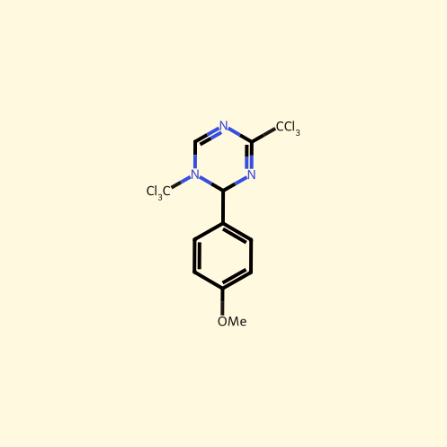 COc1ccc(C2N=C(C(Cl)(Cl)Cl)N=CN2C(Cl)(Cl)Cl)cc1